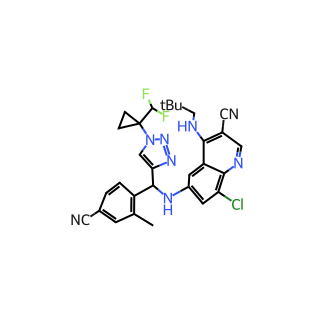 Cc1cc(C#N)ccc1C(Nc1cc(Cl)c2ncc(C#N)c(NCC(C)(C)C)c2c1)c1cn(C2(C(F)F)CC2)nn1